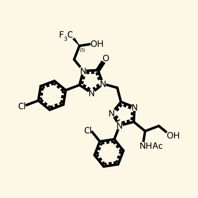 CC(=O)NC(CO)c1nc(Cn2nc(-c3ccc(Cl)cc3)n(C[C@H](O)C(F)(F)F)c2=O)nn1-c1ccccc1Cl